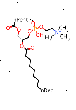 CCCCCCCCCCCCCCCCCC(=O)O[C@H](COC(=O)CCCCC)COP(=O)(O)OCC[N+](C)(C)C